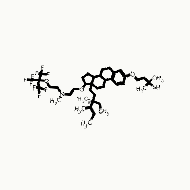 CCC(C)[C@](C)(CC)CCC12CCC3c4ccc(OCCC(C)(C)S)cc4CCC3C1CCC2OCCN(C)CCOC(C(F)(F)F)(C(F)(F)F)C(F)(F)F